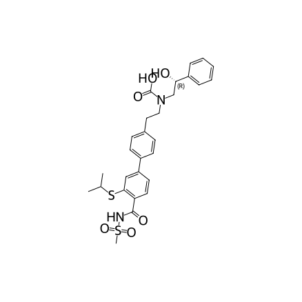 CC(C)Sc1cc(-c2ccc(CCN(C[C@H](O)c3ccccc3)C(=O)O)cc2)ccc1C(=O)NS(C)(=O)=O